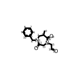 CC1CN(Cc2ccccc2)C(=O)CN(CC=O)C1=O